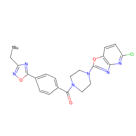 CC(C)(C)Cc1noc(-c2ccc(C(=O)N3CCN(c4nc5nc(Cl)ccc5o4)CC3)cc2)n1